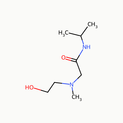 CC(C)NC(=O)CN(C)CCO